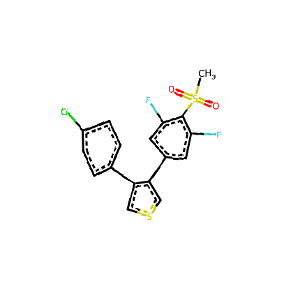 CS(=O)(=O)c1c(F)cc(-c2cscc2-c2ccc(Cl)cc2)cc1F